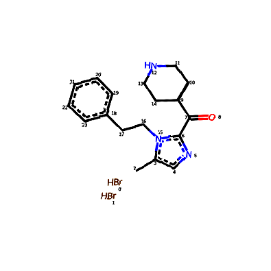 Br.Br.Cc1cnc(C(=O)C2CCNCC2)n1CCc1ccccc1